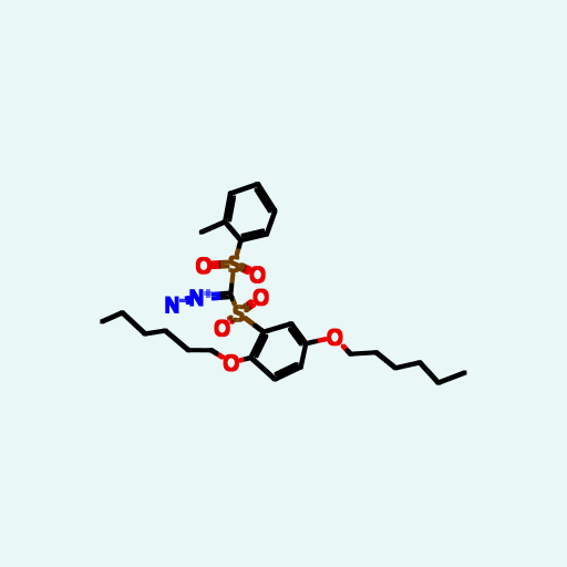 CCCCCCOc1ccc(OCCCCCC)c(S(=O)(=O)C(=[N+]=[N-])S(=O)(=O)c2ccccc2C)c1